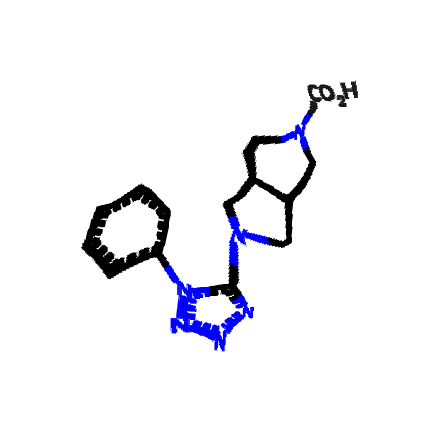 O=C(O)N1CC2CN(c3nnnn3-c3ccccc3)CC2C1